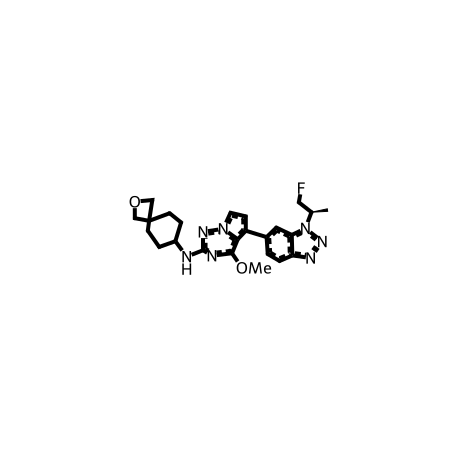 COc1nc(NC2CCC3(CC2)COC3)nn2ccc(-c3ccc4nnn([C@H](C)CF)c4c3)c12